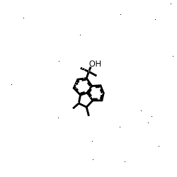 CC1c2cccc3c(C(C)(C)O)ccc(c23)C1C